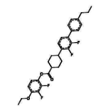 CCCc1ccc(-c2ccc(C3CCC(C(=O)Oc4ccc(OCC)c(F)c4F)CC3)c(F)c2F)cc1